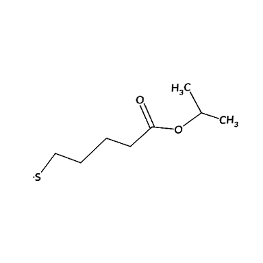 CC(C)OC(=O)CCCC[S]